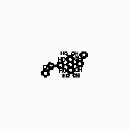 Oc1c(O)c(O)c2c(-c3cccc(-c4ccccc4)c3)c3c(O)c(O)c(O)c(O)c3c(-c3ccc(-c4ccc5oc6ccccc6c5c4)cc3)c2c1O